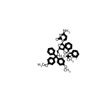 COc1ccc(C(OC[C@H]2O[C@@H](n3ccc(N)nc3=O)C[C@@H]2O[Si](c2ccccc2)(c2ccccc2)C(C)(C)C)(c2ccccc2)c2ccc(OC)cc2)cc1